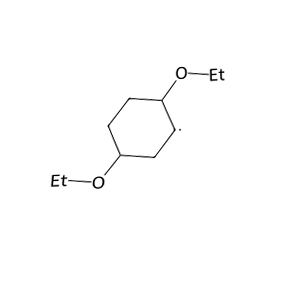 CCOC1[CH]CC(OCC)CC1